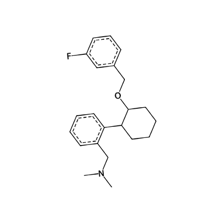 CN(C)Cc1ccccc1C1CCCCC1OCc1cccc(F)c1